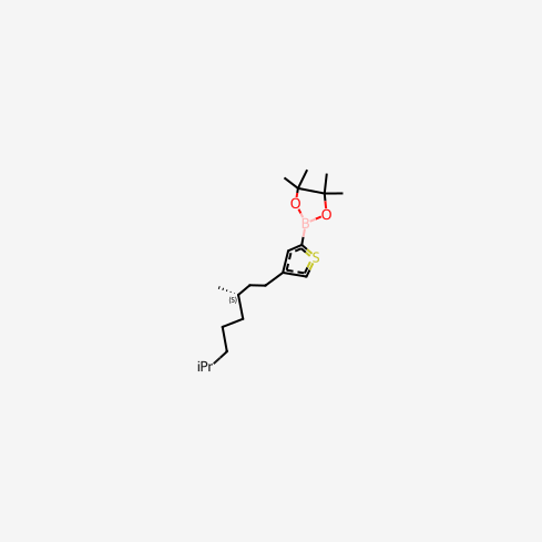 CC(C)CCC[C@H](C)CCc1csc(B2OC(C)(C)C(C)(C)O2)c1